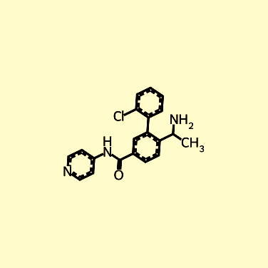 CC(N)c1ccc(C(=O)Nc2ccncc2)cc1-c1ccccc1Cl